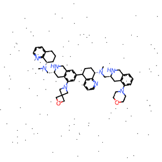 CN(C[C@H]1Cc2c(cc(C3CC[C@H](N(C)C[C@@H]4Cc5c(cccc5N5CCOCC5)CN4)c4ncccc43)cc2N2CC3(COC3)C2)CN1)[C@H]1CCCc2cccnc21